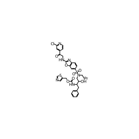 CC(C)CN(CC(O)C(Cc1ccccc1)NC(=O)OCc1cncs1)S(=O)(=O)c1ccc2nc(NCC(=O)c3ccnc(Cl)c3)oc2c1